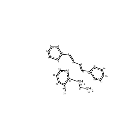 C(C=Cc1ccccc1)=Cc1ccccc1.NC[SiH2]c1ccccc1.[Ti]